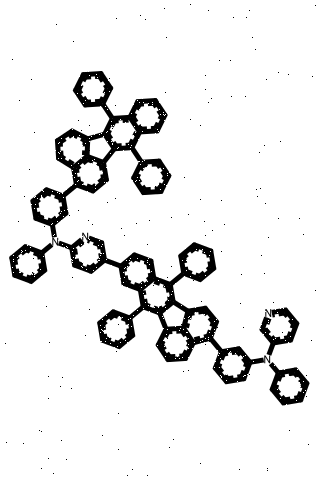 c1ccc(-c2c3c(c(-c4ccccc4)c4ccccc24)-c2ccc(-c4cccc(N(c5ccccc5)c5ccc(-c6ccc7c(-c8ccccc8)c8c(c(-c9ccccc9)c7c6)-c6cccc7c(-c9cccc(N(c%10ccccc%10)c%10cccnc%10)c9)ccc-8c67)cn5)c4)c4cccc-3c24)cc1